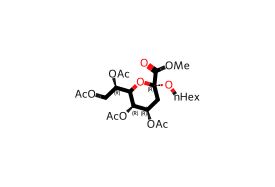 CCCCCCO[C@]1(C(=O)OC)C[C@@H](OC(C)=O)[C@@H](OC(C)=O)C([C@@H](COC(C)=O)OC(C)=O)O1